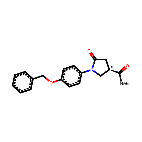 CNC(=O)[C@@H]1CC(=O)N(c2ccc(OCc3ccccc3)cc2)C1